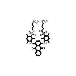 Cc1cc(C)c(S(=O)(=O)NCCCS(=O)(=O)O)c(C)c1Nc1ccc(Nc2c(C)cc(C)c(S(=O)(=O)NCCCS(=O)(=O)O)c2C)c2c1C(=O)c1ccccc1C2=O